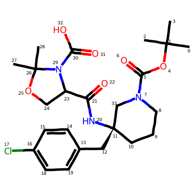 CC(C)(C)OC(=O)N1CCC[C@](Cc2ccc(Cl)cc2)(NC(=O)C2COC(C)(C)N2C(=O)O)C1